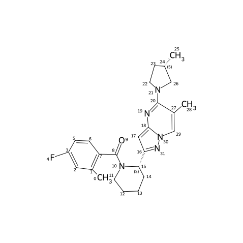 Cc1cc(F)ccc1C(=O)N1CCCC[C@H]1c1cc2nc(N3CC[C@H](C)C3)c(C)cn2n1